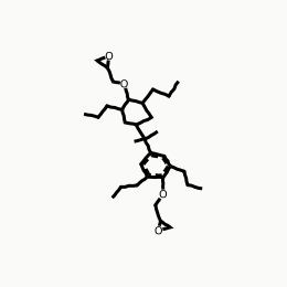 CCCc1cc(C(C)(C)C2CC(CCC)C(OCC3CO3)C(CCC)C2)cc(CCC)c1OCC1CO1